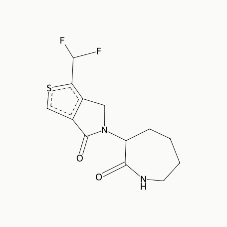 O=C1NCCCCC1N1Cc2c(csc2C(F)F)C1=O